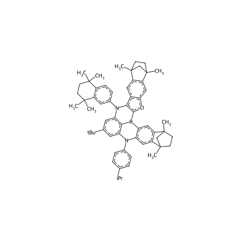 CC(C)c1ccc(N2c3cc4c(cc3B3c5oc6cc7c(cc6c5N(c5ccc6c(c5)C(C)(C)CCC6(C)C)c5cc(C(C)(C)C)cc2c53)C2(C)CCC7(C)C2)C2(C)CCC4(C)C2)cc1